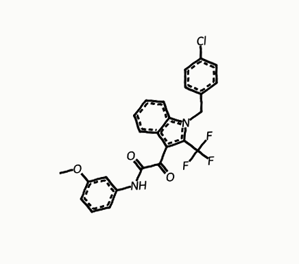 COc1cccc(NC(=O)C(=O)c2c(C(F)(F)F)n(Cc3ccc(Cl)cc3)c3ccccc23)c1